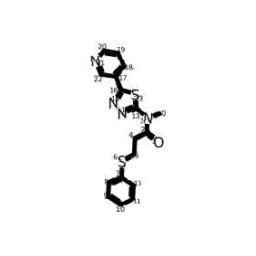 CN(C(=O)CCSc1ccccc1)c1nnc(-c2cccnc2)s1